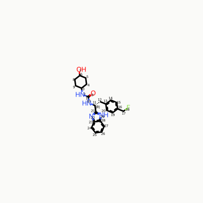 O=C(NC1CCC(O)CC1)N[C@H](Cc1ccc(CF)cc1)c1nc2ccccc2[nH]1